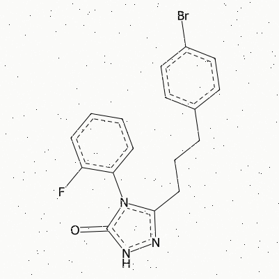 O=c1[nH]nc(CCCc2ccc(Br)cc2)n1-c1ccccc1F